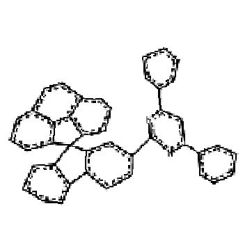 c1ccc(-c2cc(-c3ccccc3)nc(-c3ccc4c(c3)C3(c5ccccc5-4)c4cccc5ccc6cccc3c6c45)n2)cc1